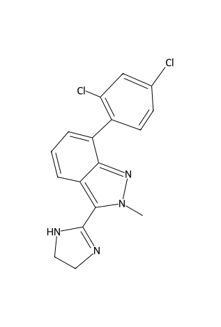 Cn1nc2c(-c3ccc(Cl)cc3Cl)cccc2c1C1=NCCN1